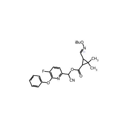 CC(C)CO/N=C/C1C(C(=O)OC(C#N)c2ccc(F)c(Oc3ccccc3)n2)C1(C)C